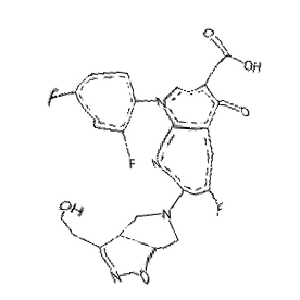 O=C(O)c1cn(-c2ccc(F)cc2F)c2nc(N3CC4ON=C(CO)C4C3)c(F)cc2c1=O